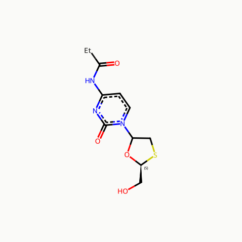 CCC(=O)Nc1ccn(C2CS[C@@H](CO)O2)c(=O)n1